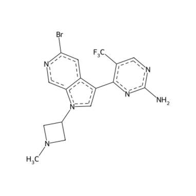 CN1CC(n2cc(-c3nc(N)ncc3C(F)(F)F)c3cc(Br)ncc32)C1